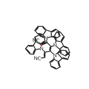 N#C/C=C(/C(=C(\C(=C\C#N)n1c2ccccc2c2ccccc21)n1c2ccccc2c2ccccc21)n1c2ccccc2c2ccccc21)n1c2ccccc2c2ccccc21